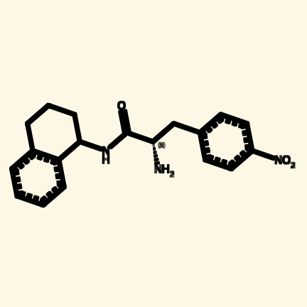 N[C@@H](Cc1ccc([N+](=O)[O-])cc1)C(=O)NC1CCCc2ccccc21